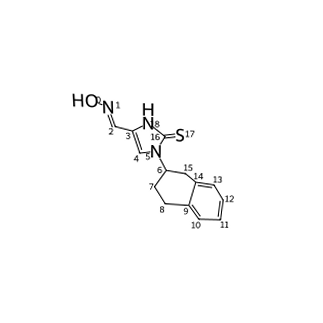 ON=Cc1cn(C2CCc3ccccc3C2)c(=S)[nH]1